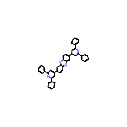 C1=C(c2ccccc2)N=C(c2ccccc2)CC1c1ccc2nc3cc(-c4cc(-c5ccccc5)nc(-c5ccccc5)c4)ccc3nc2c1